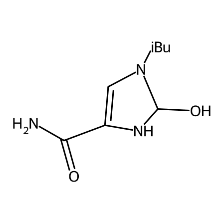 CCC(C)N1C=C(C(N)=O)NC1O